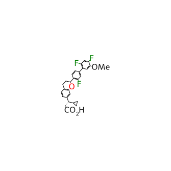 COc1cc(-c2ccc(C3CCc4ccc([C@@H](CC(=O)O)C5CC5)cc4O3)c(F)c2)c(F)cc1F